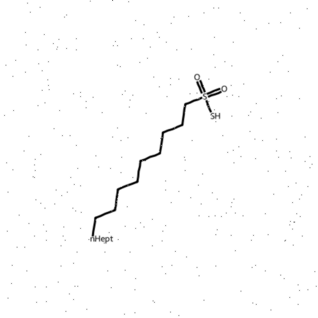 CCCCCCCCCCCCCCCCS(=O)(=O)S